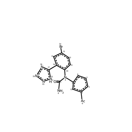 CC(=O)c1cccc(N(C(N)=O)c2ccc(Br)cc2-c2nnn[nH]2)c1